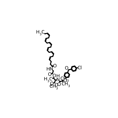 CC/C=C\C/C=C\C/C=C\C/C=C\C/C=C\C/C=C\CCC(=O)NCC(=O)OC(C)C(NC(=O)C(C)(C)Oc1ccc(C(=O)c2ccc(Cl)cc2)cc1)C(=O)OC